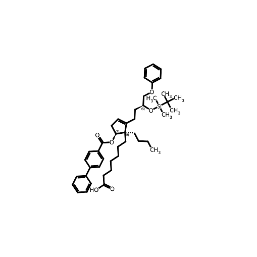 CCCC[C@@]1(CCCCCCC(=O)O)C(CC[C@@H](COc2ccccc2)O[Si](C)(C)C(C)(C)C)=CC[C@@H]1OC(=O)c1ccc(-c2ccccc2)cc1